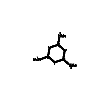 CN[C]1CC(NC)CC(NC)C1